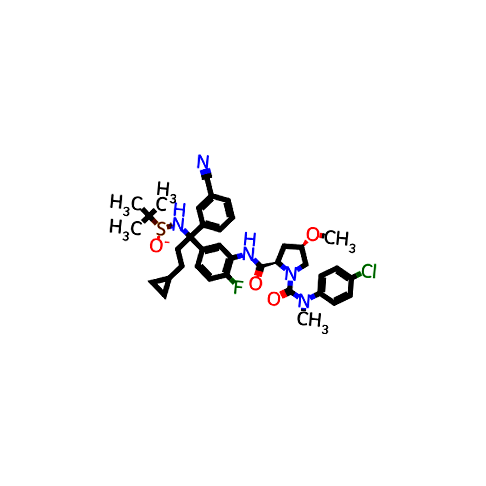 CO[C@@H]1C[C@H](C(=O)Nc2cc(C(CCC3CC3)(N[S@+]([O-])C(C)(C)C)c3cccc(C#N)c3)ccc2F)N(C(=O)N(C)c2ccc(Cl)cc2)C1